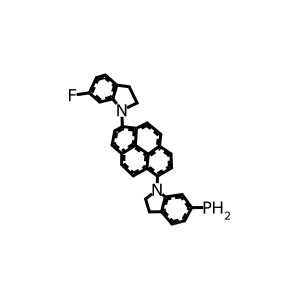 Fc1ccc2c(c1)N(c1ccc3ccc4c(N5CCc6ccc(P)cc65)ccc5ccc1c3c54)CC2